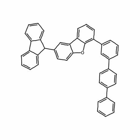 c1ccc(-c2ccc(-c3cccc(-c4cccc5c4oc4ccc(C6c7ccccc7-c7ccccc76)cc45)c3)cc2)cc1